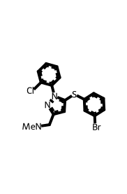 CNCc1cc(Sc2cccc(Br)c2)n(-c2ccccc2Cl)n1